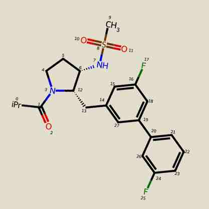 CC(C)C(=O)N1CC[C@H](NS(C)(=O)=O)[C@@H]1Cc1cc(F)cc(-c2cccc(F)c2)c1